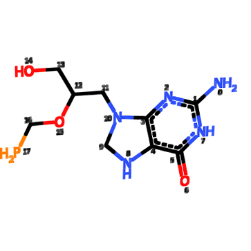 Nc1nc2c(c(=O)[nH]1)NCN2CC(CO)OCP